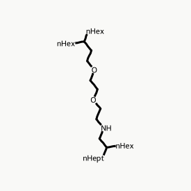 CCCCCCCC(CCCCCC)CNCCOCCOCCC(CCCCCC)CCCCCC